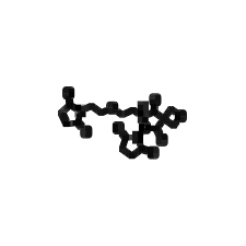 O=C1C=CC(=O)N1CCOCCNC(=O)C1(C(=O)ON2C(=O)CCC2=O)COC1